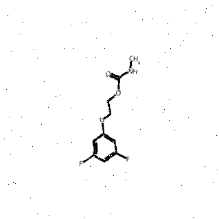 CNC(=O)OCCOc1cc(F)cc(F)c1